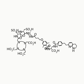 Cc1cc(OCCCC(=O)NCCNC(=O)[C@H](CS(=O)(=O)O)NC(=O)[C@H](CS(=O)(=O)O)NC(=O)CN2CCN(CC(=O)O)CCN(CC(=O)O)CCN(CC(=O)O)CC2)cc(C)c1S(=O)(=O)NC(CNC(=O)c1ccc(CCc2ccc3c(n2)NCCC3)cc1)C(=O)O